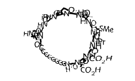 CSCC[C@@H]1NC(=O)[C@H](C(C)C)NC(=O)[C@H](CC(=O)O)NC(=O)[C@H](CCC(=O)O)NC(=O)[C@H](C)NCCCCCCCCC(=O)[C@H](Cc2c[nH]cn2)NC(=O)[C@H](C)NC(=O)[C@H](C(C)C)NC(=O)[C@@H]2CCCN2C(=O)[C@H](C)NC(=O)[C@H]([C@@H](C)O)NC1=O